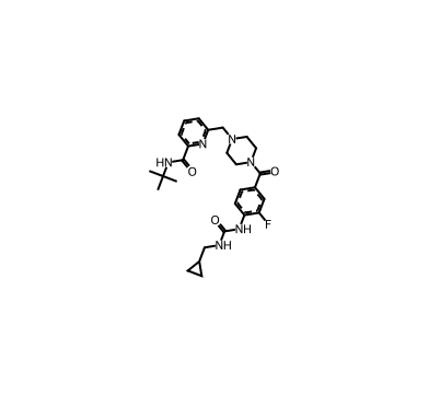 CC(C)(C)NC(=O)c1cccc(CN2CCN(C(=O)c3ccc(NC(=O)NCC4CC4)c(F)c3)CC2)n1